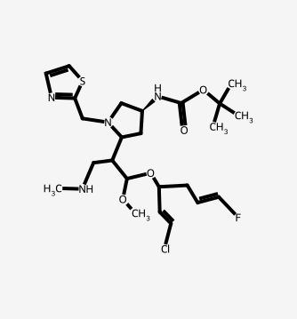 CNCC(C(OC)OC(/C=C/Cl)C/C=C/F)C1C[C@H](NC(=O)OC(C)(C)C)CN1Cc1nccs1